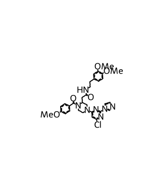 COc1ccc(C(=O)N2CCN(c3cc(Cl)nc(-n4ccnc4)n3)CC2CC(=O)NCCc2ccc(OC)c(OC)c2)cc1